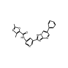 Cc1nc(C)c(C(=O)Nc2cncc(-c3nc4ncc(-c5ccccc5)cn4n3)c2)o1